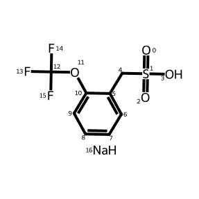 O=S(=O)(O)Cc1ccccc1OC(F)(F)F.[NaH]